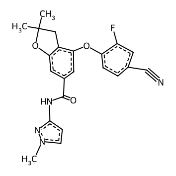 Cn1ccc(NC(=O)c2cc(Oc3ccc(C#N)cc3F)c3c(c2)OC(C)(C)C3)n1